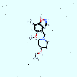 CCOC1CCN(Cc2c(OC)cc(C)c3oncc23)CC1